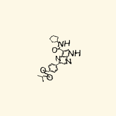 CC(C)S(=O)(=O)c1ccc(-c2cnc3[nH]cc(C(=O)NC4CCCC4)c3n2)cc1